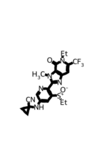 CCn1c(C(F)(F)F)cc2nc(-c3ncc(NC4(C#N)CC4)cc3[S+]([O-])CC)n(C)c2c1=O